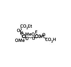 CCOC(=O)CCC(=O)N1Cc2cc(OC)c(OCCCOc3cc4c(c(F)c3OC)CN(C(=O)CCC(=O)O)C4)cc2C1